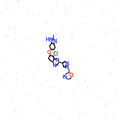 Cc1nc2ccc(Oc3ccc4ncc(-c5cnn(CC6CN(C)CCO6)c5)nc4c3Cl)cc2[nH]1